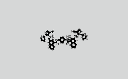 [C-]#[N+]c1cnn(-c2ncccn2)c1/N=N/c1cc2ccccc2c(C(=O)Nc2ccc(NC(=O)c3c(O)c(/N=N/c4c(C#N)cnn4-c4ncccn4)cc4ccccc34)cc2)c1O